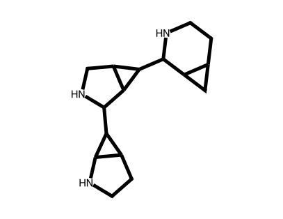 C1CC2C(N1)C2C1NCC2C(C3NCCC4CC43)C21